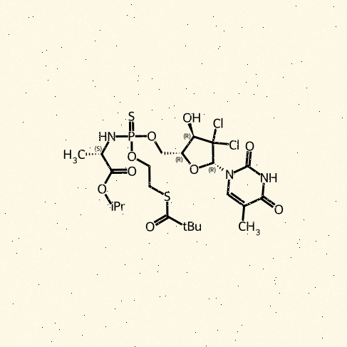 Cc1cn([C@@H]2O[C@H](COP(=S)(N[C@@H](C)C(=O)OC(C)C)OCCSC(=O)C(C)(C)C)[C@@H](O)C2(Cl)Cl)c(=O)[nH]c1=O